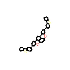 c1ccc2c(c1)sc1ccc(-c3ccc4c(c3)Oc3ccc5c6c(ccc-4c36)-c3ccc(-c4ccc6sc7ccccc7c6c4)cc3O5)cc12